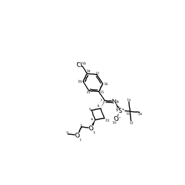 COCO[C@H]1C[C@H](C(=N[S@@+]([O-])C(C)(C)C)c2ccc(Cl)cc2)C1